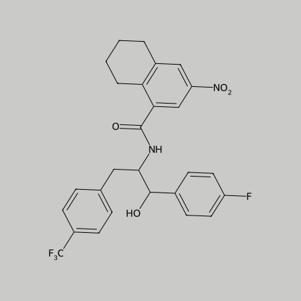 O=C(NC(Cc1ccc(C(F)(F)F)cc1)C(O)c1ccc(F)cc1)c1cc([N+](=O)[O-])cc2c1CCCC2